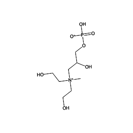 C[N+](CCO)(CCO)CC(O)COP(=O)([O-])O